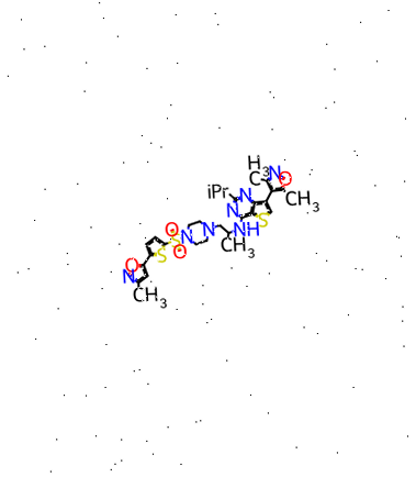 Cc1cc(-c2ccc(S(=O)(=O)N3CCN(CC(C)Nc4nc(C(C)C)nc5c(-c6c(C)noc6C)csc45)CC3)s2)on1